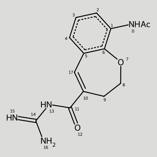 CC(=O)Nc1cccc2c1OCCC(C(=O)NC(=N)N)=C2